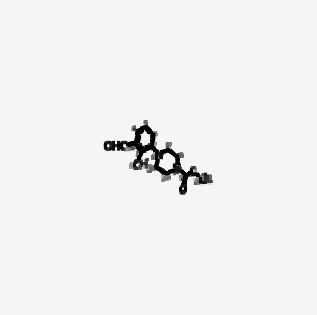 Cc1c(C=O)cccc1N1CCN(C(=O)OC(C)(C)C)CC1